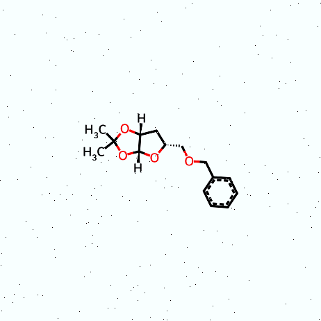 CC1(C)O[C@H]2O[C@@H](COCc3ccccc3)C[C@H]2O1